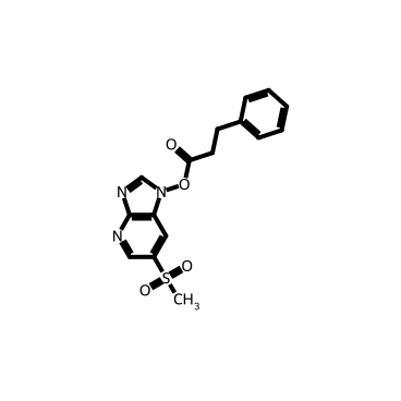 CS(=O)(=O)c1cnc2ncn(OC(=O)CCc3ccccc3)c2c1